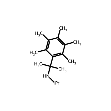 Cc1c(C)c(C)c(C(C)(C)NC(C)C)c(C)c1C